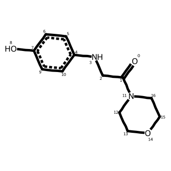 O=C(CNc1ccc(O)cc1)N1CCOCC1